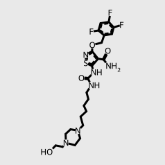 NC(=O)c1c(OCc2cc(F)c(F)cc2F)nsc1NC(=O)NCCCCCCN1CCN(CCO)CC1